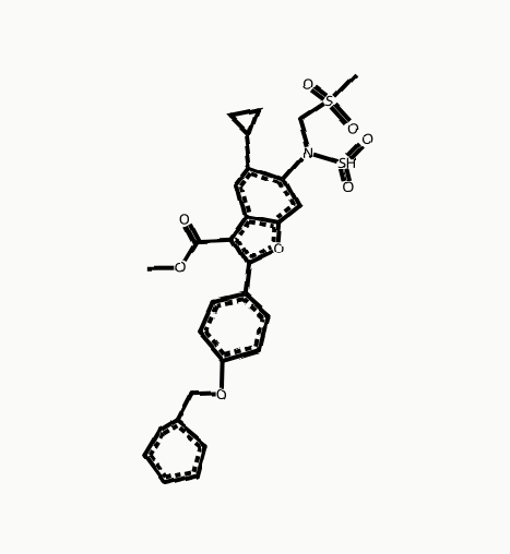 COC(=O)c1c(-c2ccc(OCc3ccccc3)cc2)oc2cc(N(CS(C)(=O)=O)[SH](=O)=O)c(C3CC3)cc12